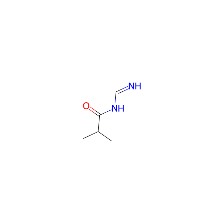 CC(C)C(=O)NC=N